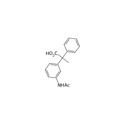 CC(=O)Nc1cccc(C(C)(C(=O)O)c2ccccc2)c1